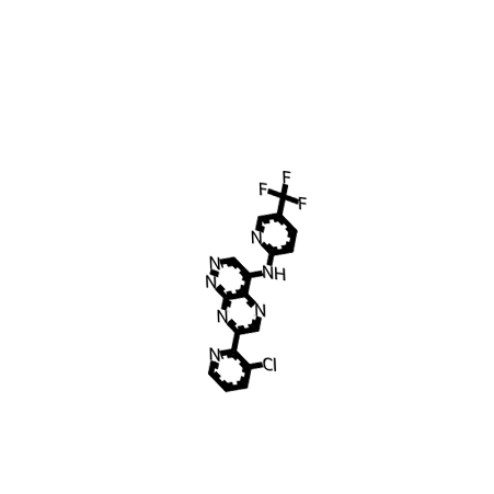 FC(F)(F)c1ccc(Nc2cnnc3nc(-c4ncccc4Cl)cnc23)nc1